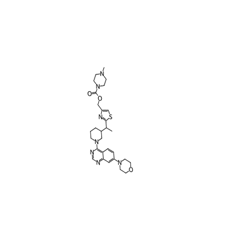 CC(c1nc(COC(=O)N2CCN(C)CC2)cs1)C1CCCN(c2ncnc3cc(N4CCOCC4)ccc23)C1